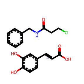 O=C(CCCl)NCc1ccccc1.O=C(O)/C=C/c1ccc(O)c(O)c1